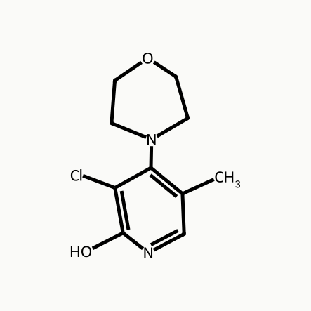 Cc1cnc(O)c(Cl)c1N1CCOCC1